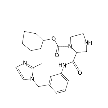 Cc1nccn1Cc1cccc(NC(=O)C2CNCCN2C(=O)OC2CCCCC2)c1